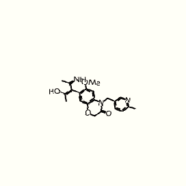 COc1cc2c(cc1/C(C(C)=N)=C(\C)O)OCC(=O)N2Cc1ccc(C)nc1